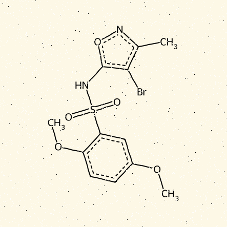 COc1ccc(OC)c(S(=O)(=O)Nc2onc(C)c2Br)c1